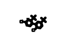 CC(C)(C)c1ccc(Cl)c(-c2ccc(Cl)nc2C(C)(C)C)c1